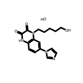 Cl.O=c1[nH]c2ccc(-n3ccnc3)cc2n(CCCCCO)c1=O